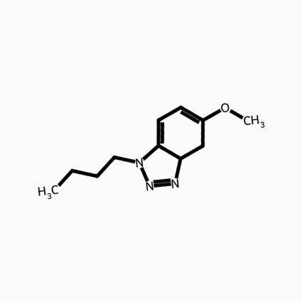 CCCCN1N=NC2CC(OC)=CC=C21